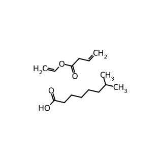 C=CCC(=O)OC=C.CC(C)CCCCCC(=O)O